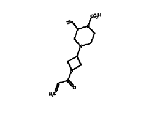 C=CC(=O)N1CC(N2CCN(C(=O)O)C(C(C)(C)C)C2)C1